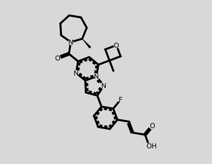 C[C@@H]1CCCCCN1C(=O)c1cc(C2(C)COC2)n2nc(-c3cccc(/C=C/C(=O)O)c3F)cc2n1